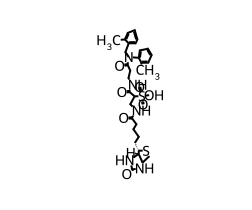 Cc1ccccc1CN(C(=O)CCNC(=O)C(CNC(=O)CCCC[C@@H]1SCC2NC(=O)N[C@@H]21)S(=O)(=O)O)c1ccccc1C